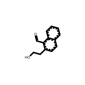 O=Cc1c(CCO)ccc2ccccc12